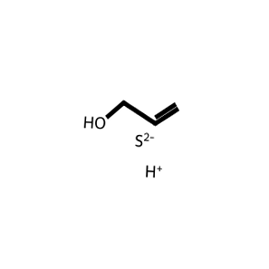 C=CCO.[H+].[S-2]